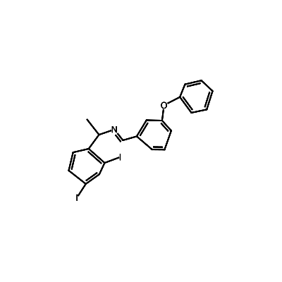 CC(N=Cc1cccc(Oc2ccccc2)c1)c1ccc(I)cc1I